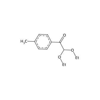 CCOC(OCC)C(=O)c1ccc(C)cc1